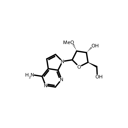 CO[C@H]1C(n2ccc3c(N)ncnc32)O[C@H](CO)[C@H]1O